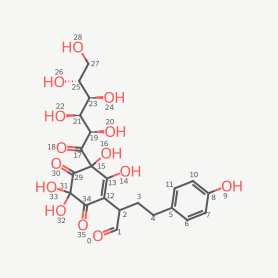 O=CC(CCc1ccc(O)cc1)C1=C(O)C(O)(C(=O)[C@H](O)[C@@H](O)[C@H](O)[C@H](O)CO)C(=O)C(O)(O)C1=O